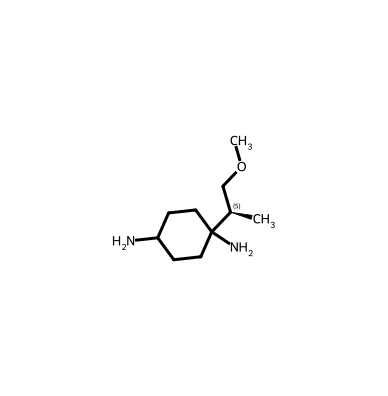 COC[C@@H](C)C1(N)CCC(N)CC1